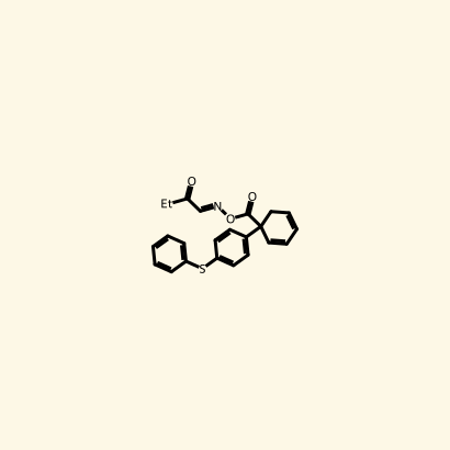 CCC(=O)C=NOC(=O)C1(c2ccc(Sc3ccccc3)cc2)C=CC=CC1